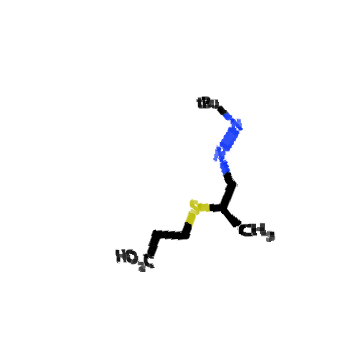 CC(CN=NC(C)(C)C)SCCC(=O)O